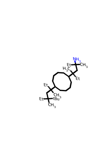 CCC(C)(N)CC(C)(CC)C1CCCCC(C(C)(CC)CC(C)(CC)C(C)(C)C)CCCC1